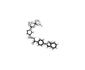 CC(C)(C)OC(=O)N1CC[C@@H](NCC(=O)c2ccc(-n3cc4ccccc4n3)cc2)C1